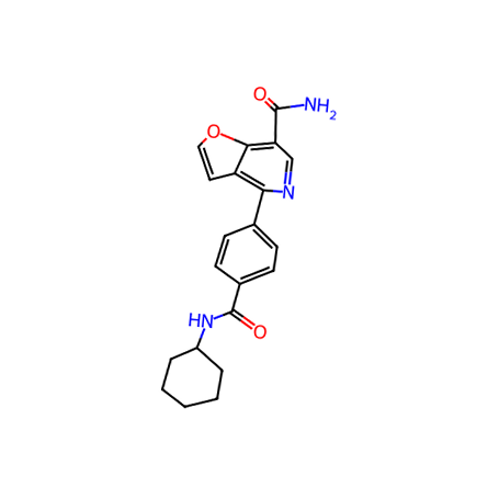 NC(=O)c1cnc(-c2ccc(C(=O)NC3CCCCC3)cc2)c2ccoc12